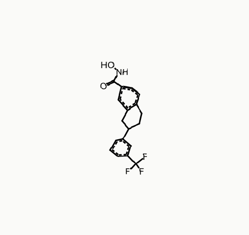 O=C(NO)c1ccc2c(c1)CC(c1cccc(C(F)(F)F)c1)CC2